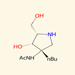 CCCC[C@]1(NC(C)=O)CN[C@@H](CO)[C@H]1O